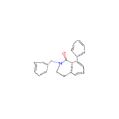 O=C1c2c(cccc2-c2ccccc2)CCN1Cc1ccccc1